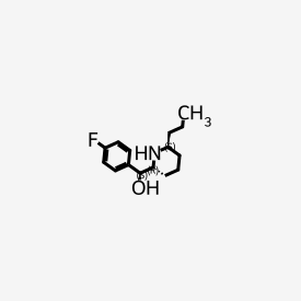 CCC[C@H]1CCC[C@H]([C@@H](O)c2ccc(F)cc2)N1